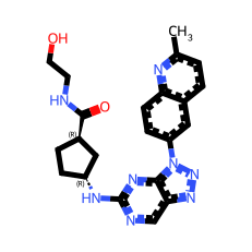 Cc1ccc2cc(-n3nnc4cnc(N[C@@H]5CC[C@@H](C(=O)NCCO)C5)nc43)ccc2n1